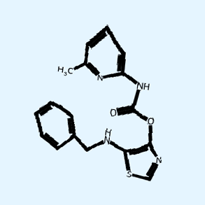 Cc1cccc(NC(=O)Oc2ncsc2NCc2ccccc2)n1